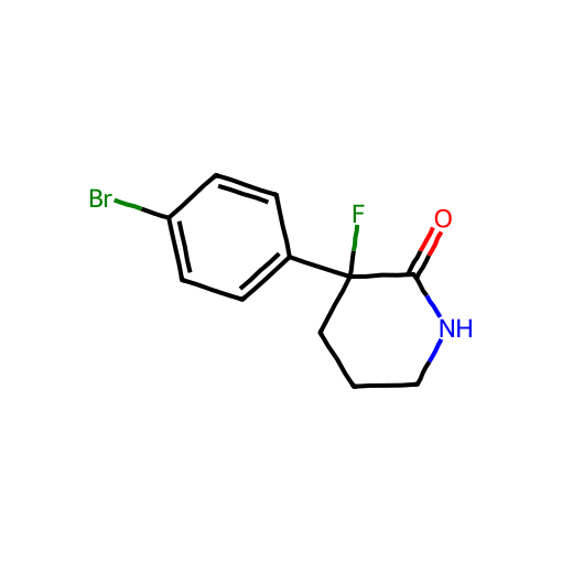 O=C1NCCCC1(F)c1ccc(Br)cc1